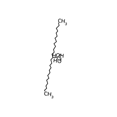 CCCCCCCCCCCCCCC(CO)CCCCCCCCCCCCCC.CCO